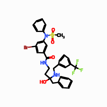 CS(=O)(=O)N(c1ccccc1)c1cc(Br)cc(C(=O)NCCC(O)(Cc2ccccc2)NCc2cccc(C(F)(F)F)c2)c1